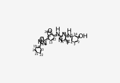 Oc1cccc(Nc2nc(Nc3ccc(-c4nc(-c5ccccc5)no4)c4c3OC4)ncc2F)c1